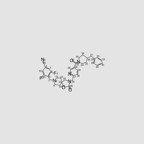 N#Cc1cc(F)c(CN2CCC3(CC2)CN(Cc2ccc(C(=O)N4CCC(Cc5ccccc5)CC4)cn2)C(=O)O3)c(F)c1